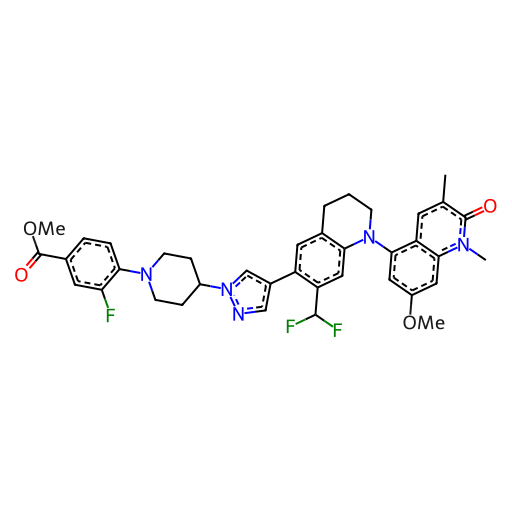 COC(=O)c1ccc(N2CCC(n3cc(-c4cc5c(cc4C(F)F)N(c4cc(OC)cc6c4cc(C)c(=O)n6C)CCC5)cn3)CC2)c(F)c1